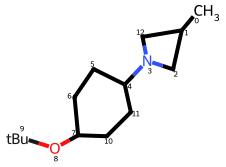 CC1CN(C2CCC(OC(C)(C)C)CC2)C1